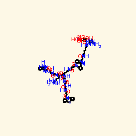 N=C(N)NCCCC(NC(=O)C(CCCCNC(=O)CCC(=O)N1CC2CCCCC2c2nnn(CCC(=O)NCCCCCCNc3nc4c(N)ncnc4n3C3OC(COP(=O)(O)O)C(O)C3O)c2C2CCCCC21)NC(=O)CNC(=O)CNC(=O)CNC(=O)CCC(=O)N1CC2CC=CC=C2/C=C\C2=C1CCC=C2)C(=O)NCC(=O)NCC(=O)NC(Cc1c[nH]c2c1CCC=C2)C(N)=O